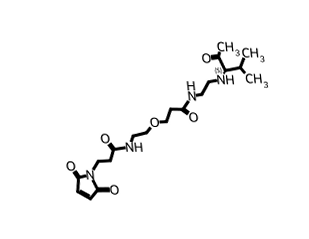 CC(=O)[C@@H](NCCNC(=O)CCOCCNC(=O)CCN1C(=O)C=CC1=O)C(C)C